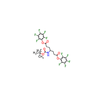 CC(C)(C)OC(=O)NC(CCC(=O)Oc1c(F)c(F)c(F)c(F)c1F)CCC(=O)Oc1c(F)c(F)c(F)c(F)c1F